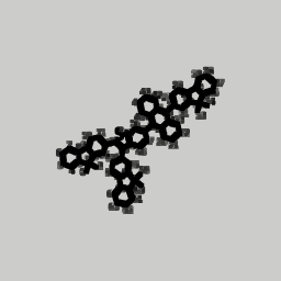 CC1(C)c2ccccc2-c2ccc(-c3sc4cc(-c5c6ccccc6c(-c6ccc7c(c6)C(C)(C)c6ccccc6-7)c6ccccc56)ccc4c3-c3ccc4c(c3)C(C)(C)c3ccccc3-4)cc21